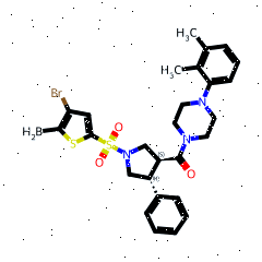 Bc1sc(S(=O)(=O)N2C[C@@H](C(=O)N3CCN(c4cccc(C)c4C)CC3)[C@H](c3ccccc3)C2)cc1Br